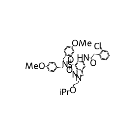 COc1ccc(CN(Cc2ccc(OC)cc2)S(=O)(=O)c2cc(NC(=O)Cc3ccccc3Cl)cc3cn(CCOC(C)C)nc23)cc1